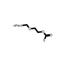 CCCCCCOCCOC(=O)[S]